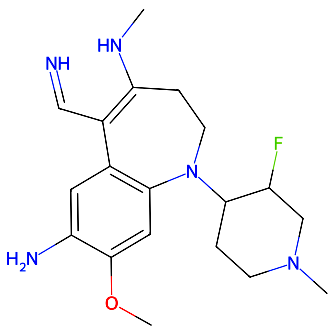 CNC1=C(C=N)c2cc(N)c(OC)cc2N(C2CCN(C)CC2F)CC1